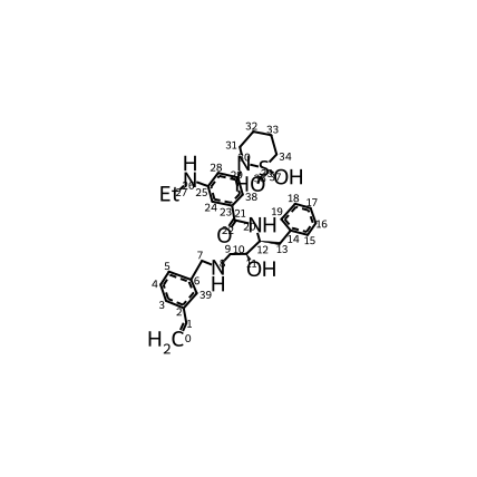 C=Cc1cccc(CNC[C@H](O)[C@H](Cc2ccccc2)NC(=O)c2cc(NCC)cc(N3CCCCS3(O)O)c2)c1